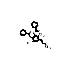 CCCCc1cc(C)c(OC(=O)c2ccccc2)c(OC(=O)c2ccccc2)c1C